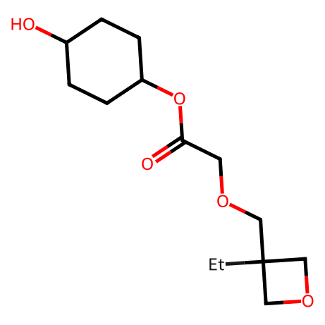 CCC1(COCC(=O)OC2CCC(O)CC2)COC1